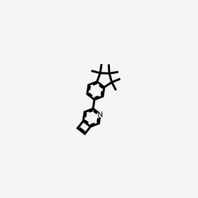 CC1(C)c2ccc(-c3cc4c(cn3)C=C4)cc2C(C)(C)C1(C)C